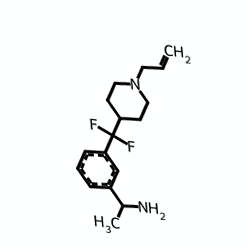 C=CCN1CCC(C(F)(F)c2cccc(C(C)N)c2)CC1